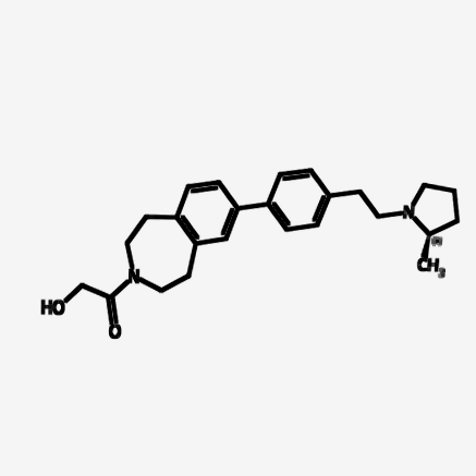 C[C@@H]1CCCN1CCc1ccc(-c2ccc3c(c2)CCN(C(=O)CO)CC3)cc1